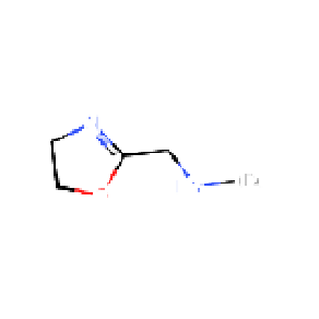 CC(C)(C)NCC1=NCCO1